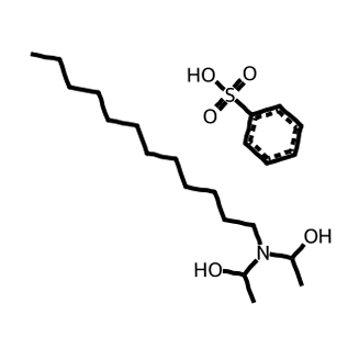 CCCCCCCCCCCCN(C(C)O)C(C)O.O=S(=O)(O)c1ccccc1